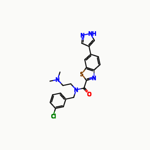 CN(C)CCN(Cc1cccc(Cl)c1)C(=O)c1nc2ccc(-c3cn[nH]c3)cc2s1